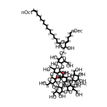 CCCCCCCC/C=C\CCCCCCCCCCCCCC(=O)N[C@@H](CO[C@@H]1OC(CO)[C@@H](O[C@@H]2OC(CO)[C@H](O[C@@H]3OC(CO)[C@H](O)[C@H](O[C@@H]4OC(CO)[C@H](O)[C@H](O[C@@H]5OC(CO)[C@H](O)[C@H](O[C@H]6OC(CO)[C@H](O)[C@H](O)C6NC(C)=O)C5O[C@H]5OC(C)[C@@H](O)C(O)[C@@H]5O)C4NC(C)=O)C3O)[C@H](O)C2O)[C@H](O)C1O)[C@H](O)/C=C/CCCCCCCCCCCCC